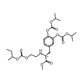 CCC(C)OC(=O)OCCN[C@@H](Cc1ccc(OC(=O)OC(C)C)c(OC(=O)OC(C)C)c1)C(=O)OC